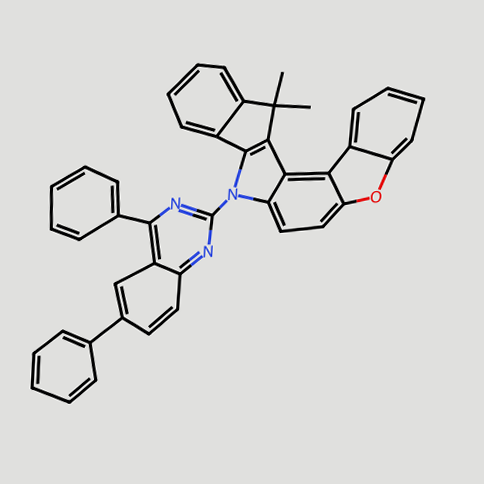 CC1(C)c2ccccc2-c2c1c1c3c(ccc1n2-c1nc(-c2ccccc2)c2cc(-c4ccccc4)ccc2n1)oc1ccccc13